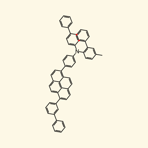 Cc1ccc(N(c2ccc(-c3ccccc3)cc2)c2ccc(-c3ccc4ccc5c(-c6cccc(-c7ccccc7)c6)ccc6ccc3c4c65)cc2)c(-c2ccccc2)c1